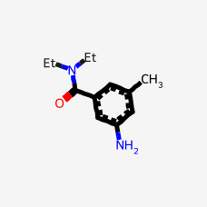 CCN(CC)C(=O)c1cc(C)cc(N)c1